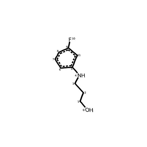 OCCCNc1cccc(F)c1